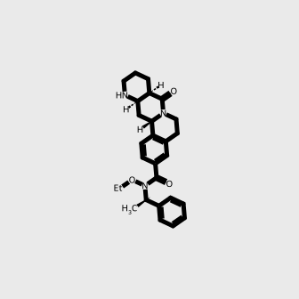 CCON(C(=O)c1ccc2c(c1)CCN1C(=O)[C@@H]3CCCN[C@@H]3C[C@@H]21)[C@H](C)c1ccccc1